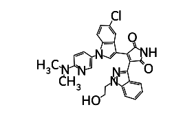 CN(C)c1ccc(-n2cc(C3=C(c4nn(CCO)c5ccccc45)C(=O)NC3=O)c3cc(Cl)ccc32)cn1